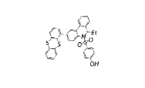 CCC1c2ccccc2-c2cc(-c3cccc4c3Sc3ccccc3S4)ccc2N1S(=O)(=O)c1ccc(O)cc1